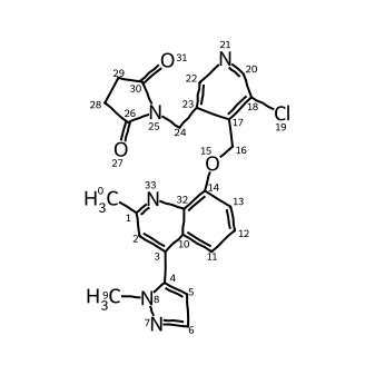 Cc1cc(-c2ccnn2C)c2cccc(OCc3c(Cl)cncc3CN3C(=O)CCC3=O)c2n1